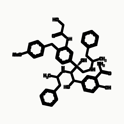 COc1ccc(Cc2ccc([C@@](O)(CNC(C)Cc3ccccc3)C(NC(C)Cc3ccccc3)C(O)c3ccc(O)c(C(N)=O)c3)cc2NC(=O)CO)cc1